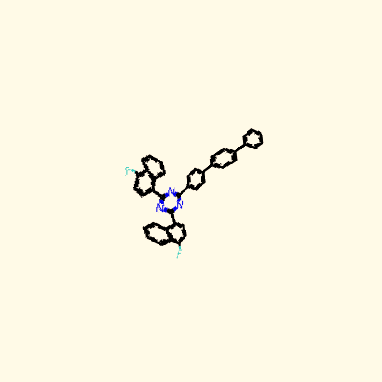 Fc1ccc(-c2nc(-c3ccc(-c4ccc(-c5ccccc5)cc4)cc3)nc(-c3ccc(F)c4ccccc34)n2)c2ccccc12